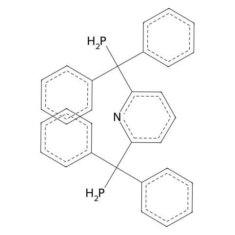 PC(c1ccccc1)(c1ccccc1)c1cccc(C(P)(c2ccccc2)c2ccccc2)n1